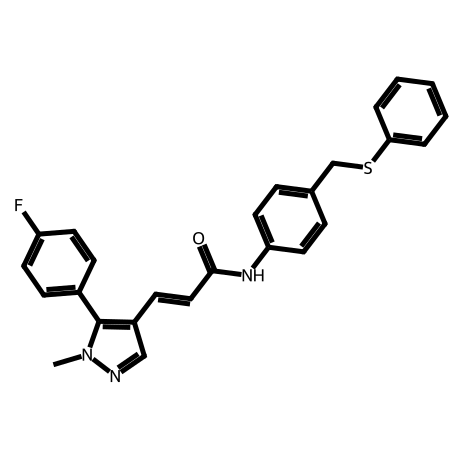 Cn1ncc(C=CC(=O)Nc2ccc(CSc3ccccc3)cc2)c1-c1ccc(F)cc1